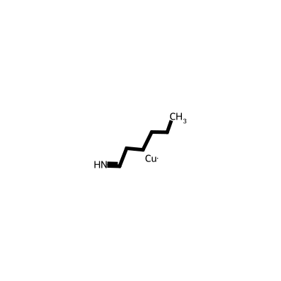 CCCCCC=N.[Cu]